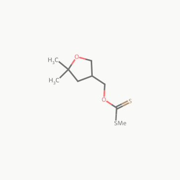 C[SH2]C(=S)OCC1COC(C)(C)C1